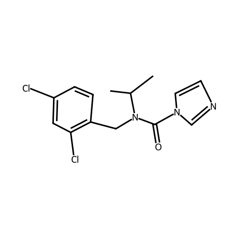 CC(C)N(Cc1ccc(Cl)cc1Cl)C(=O)n1ccnc1